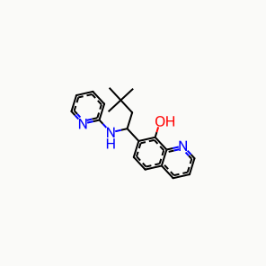 CC(C)(C)CC(Nc1ccccn1)c1ccc2cccnc2c1O